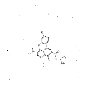 CCCC(NC(=O)c1cn(-c2ccc(F)cc2F)c2nc(N(C)C)ccc2c1=O)C(F)(F)F